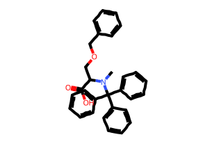 CN(C(COCc1ccccc1)C(=O)O)C(c1ccccc1)(c1ccccc1)c1ccccc1